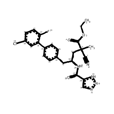 CCOC(=O)C(C)(C#N)CC(Cc1ccc(-c2cc(Cl)ccc2F)cc1)NC(=O)c1cnn[nH]1